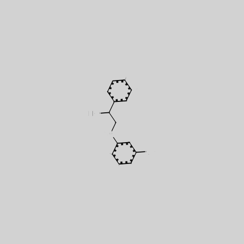 OC(C[Se]c1cccc(Cl)c1)c1ccccc1